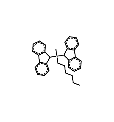 CCCCCC[Si](C)(C1c2ccccc2-c2ccccc21)C1c2ccccc2-c2ccccc21